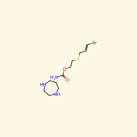 C1CNCCNC1.NC(=O)OCCSCC=CBr